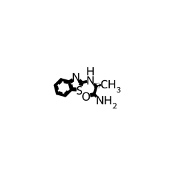 C[C@H](Nc1nc2ccccc2s1)C(N)=O